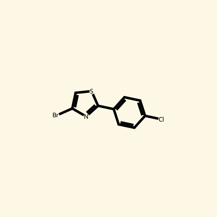 Clc1ccc(-c2nc(Br)cs2)cc1